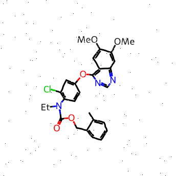 CCN(C(=O)OCc1ccccc1C)c1ccc(Oc2ncnc3cc(OC)c(OC)cc23)cc1Cl